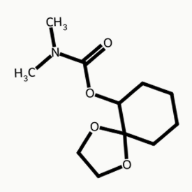 CN(C)C(=O)OC1CCCCC12OCCO2